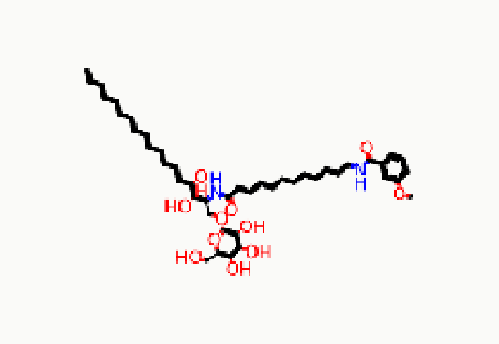 CCCCCCCCCCCCCC[C@@H](O)[C@@H](O)[C@H](CO[C@H]1O[C@H](CO)[C@H](O)[C@H](O)[C@H]1O)NC(=O)CCCCCCCCCCCNC(=O)c1cccc(OC)c1